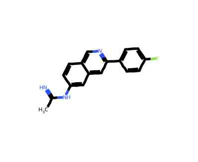 CC(=N)Nc1ccc2cnc(-c3ccc(F)cc3)cc2c1